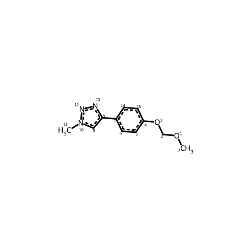 COCOc1ccc(-c2cn(C)nn2)cc1